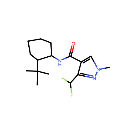 Cn1cc(C(=O)NC2CCCCC2C(C)(C)C)c(C(F)F)n1